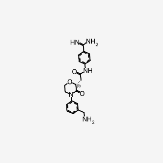 N=C(N)c1ccc(NC(=O)C[C@H]2OCCN(c3cccc(CN)c3)C2=O)cc1